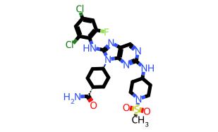 CS(=O)(=O)N1CCC(Nc2ncc3nc(Nc4c(F)cc(Cl)cc4Cl)n([C@H]4CC[C@@H](C(N)=O)CC4)c3n2)CC1